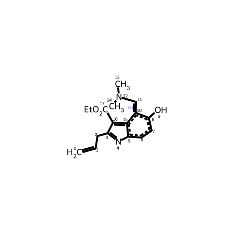 C=CCC1=Nc2ccc(O)/c(=C/N(C)C)c2=C1C(=O)OCC